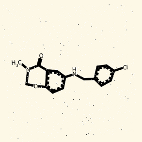 CN1CCc2ccc(NCc3ccc(Cl)cc3)cc2C1=O